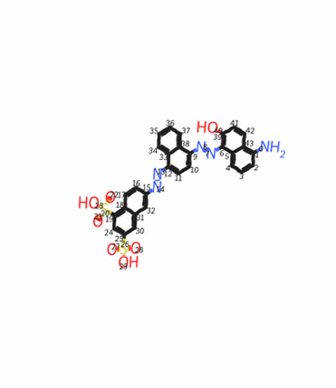 Nc1cccc2c(/N=N/c3ccc(/N=N/c4ccc5c(S(=O)(=O)O)cc(S(=O)(=O)O)cc5c4)c4ccccc34)c(O)ccc12